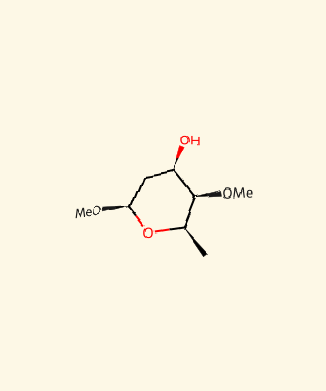 CO[C@H]1C[C@@H](O)[C@@H](OC)[C@@H](C)O1